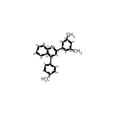 Cc1ccc(-c2cc(-c3cc(C)cc(C)c3)nc3ccccc23)cc1